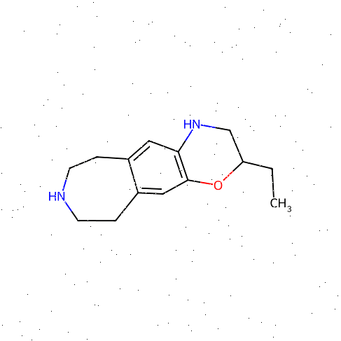 CCC1CNc2cc3c(cc2O1)CCNCC3